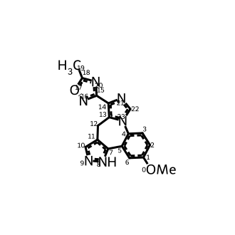 COc1ccc2c(c1)-c1[nH]ncc1Cc1c(-c3noc(C)n3)ncn1-2